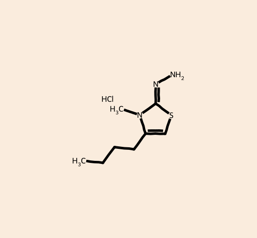 CCCCc1csc(=NN)n1C.Cl